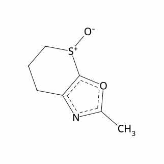 Cc1nc2c(o1)[S+]([O-])CCC2